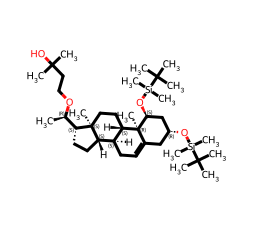 C[C@@H](OCCC(C)(C)O)[C@H]1CC[C@H]2[C@@H]3CC=C4C[C@@H](O[Si](C)(C)C(C)(C)C)C[C@H](O[Si](C)(C)C(C)(C)C)[C@]4(C)[C@H]3CC[C@]12C